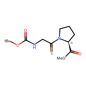 COC(=O)[C@@H]1CCCN1C(=S)CNC(=O)OC(C)(C)C